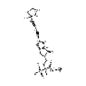 C[C@@](CCN1Cc2cc(C#CC#CC3(F)CCNC3)cn2C1=O)(C(=O)NO)S(C)(=O)=O